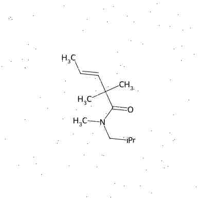 CC=CC(C)(C)C(=O)N(C)CC(C)C